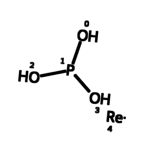 OP(O)O.[Re]